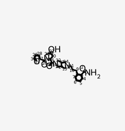 NC(=O)c1ccccc1[CH]CCN1CC2CN(C(=O)C3C[C@H](O)CN3C(=O)c3ccco3)CC2C1